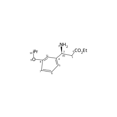 CCOC(=O)C[C@H](N)c1cccc(OC(C)C)c1